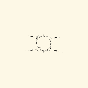 CC#CC1=Cc2nc1cc1[nH]c(cc1C#CC)c(C)c1nc(cc3[nH]c(cc3C#CC)c2C)C(C#CC)=C1